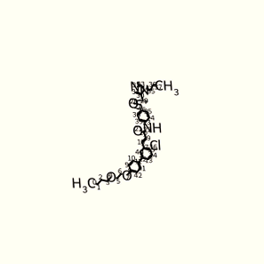 CCCCOCCOc1ccc(-c2ccc(Cl)c(/C=C/C(=O)Nc3ccc([S+]([O-])Cc4cncn4CCC)cc3)c2)cc1